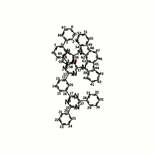 c1ccc(-c2cccc(-c3nc(-c4cccc(-c5nc(-c6ccccc6)nc(-c6ccccc6)n5)c4)nc(-n4c5ccccc5c5ccc6c7ccccc7n(-c7ccccc7)c6c54)n3)c2)cc1